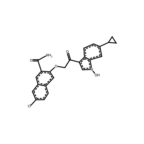 NC(=O)c1cc2cc(Cl)ccc2cc1OCC(=O)c1cn(O)c2cc(C3CC3)ccc12